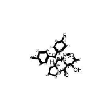 C=NN1/C(=C(/O)C(C)=O)C(=O)N2CCC[C@@H]2[C@@H]1C(c1ccc(F)cc1)c1ccc(F)cc1